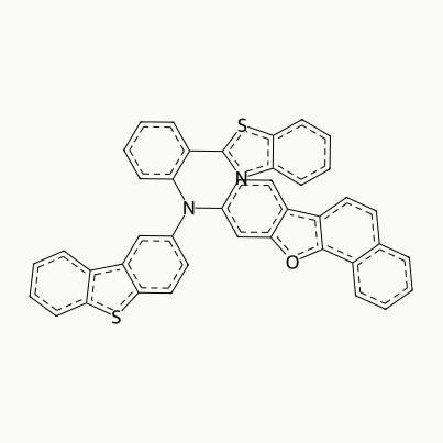 c1ccc(N(c2ccc3c(c2)oc2c4ccccc4ccc32)c2ccc3sc4ccccc4c3c2)c(-c2nc3ccccc3s2)c1